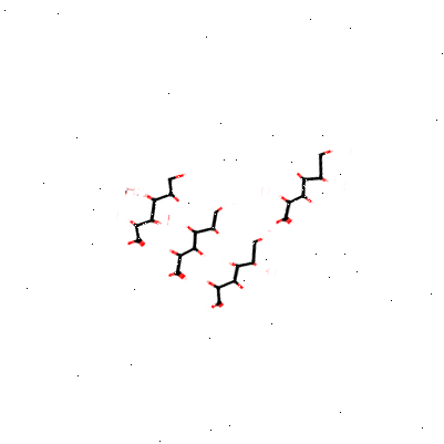 O=C([O-])C(O)C(O)C(O)C(O)CO.O=C([O-])C(O)C(O)C(O)C(O)CO.O=C([O-])C(O)C(O)C(O)C(O)CO.O=C([O-])C(O)C(O)C(O)C(O)CO.[Ca+2].[Ca+2]